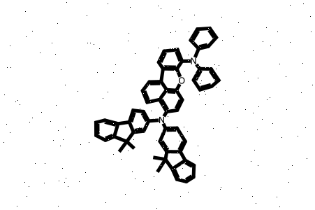 CC1(C)c2ccccc2-c2ccc(N(c3ccc4c(c3)C(C)(C)c3ccccc3-4)c3ccc4c5c(cccc35)-c3cccc(N(c5ccccc5)c5ccccc5)c3O4)cc21